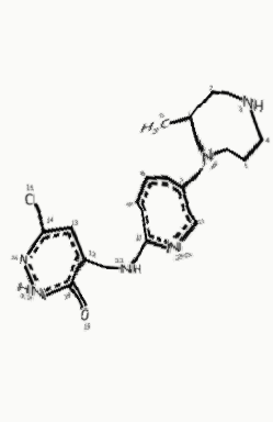 CC1CNCCN1c1ccc(Nc2cc(Cl)n[nH]c2=O)nc1